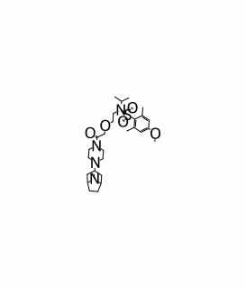 COc1cc(C)c(S(=O)(=O)N(CCOCC(=O)N2CCN(C3CC4CCC(C3)N4C)CC2)C(C)C)c(C)c1